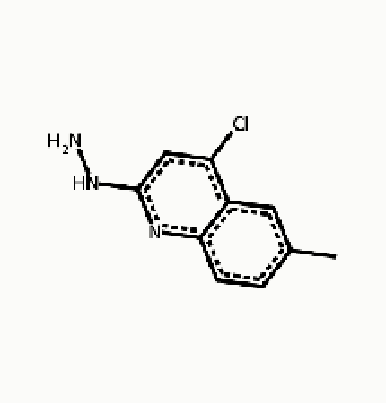 Cc1ccc2nc(NN)cc(Cl)c2c1